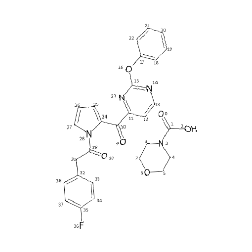 O=C(O)N1CCOCC1.O=C(c1ccnc(Oc2ccccc2)n1)c1cccn1C(=O)Cc1ccc(F)cc1